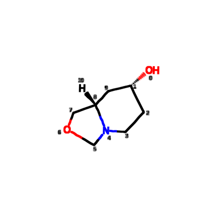 O[C@@H]1CCN2COC[C@@H]2C1